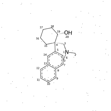 CN(C)C[C@]1(c2ccc3ccccc3c2)CCCC[C@@H]1O